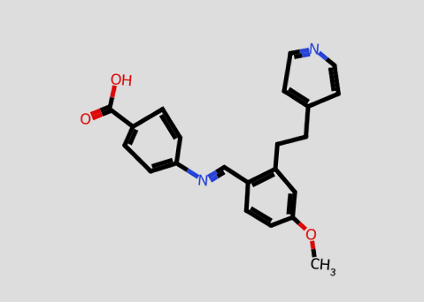 COc1ccc(C=Nc2ccc(C(=O)O)cc2)c(CCc2ccncc2)c1